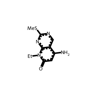 CCn1c(=O)cc(N)c2cnc(SC)nc21